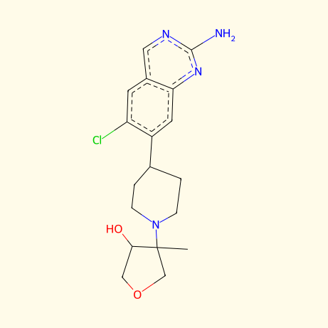 CC1(N2CCC(c3cc4nc(N)ncc4cc3Cl)CC2)COCC1O